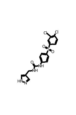 O=C(NCc1cn[nH]c1)Nc1ccc(S(=O)(=O)c2ccc(Cl)c(Cl)c2)cc1